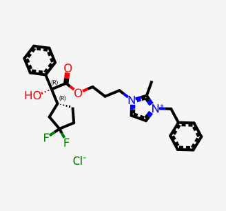 Cc1n(CCCOC(=O)[C@](O)(c2ccccc2)[C@@H]2CCC(F)(F)C2)cc[n+]1Cc1ccccc1.[Cl-]